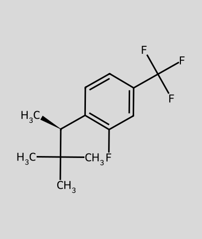 C[C@@H](c1ccc(C(F)(F)F)cc1F)C(C)(C)C